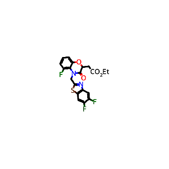 CCOC(=O)CC1Oc2cccc(F)c2N(Cc2nc3cc(F)c(F)cc3s2)C1=O